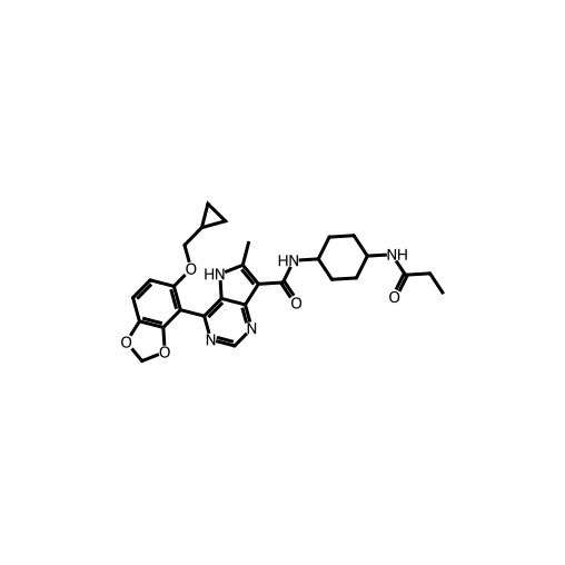 CCC(=O)NC1CCC(NC(=O)c2c(C)[nH]c3c(-c4c(OCC5CC5)ccc5c4OCO5)ncnc23)CC1